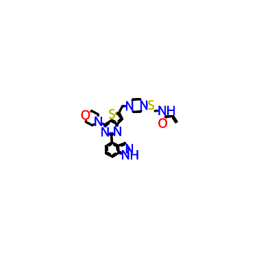 C=CC(=O)NCSN1CCN(Cc2cc3nc(-c4cccc5[nH]ncc45)nc(N4CCOCC4)c3s2)CC1